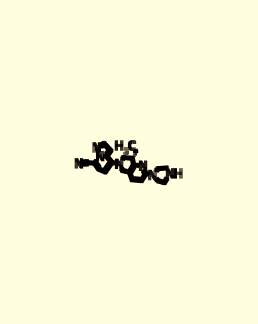 CC[C@H]1CN(c2ccc(C#N)n3nccc23)Cc2ccc(N3CCNCC3)nc21